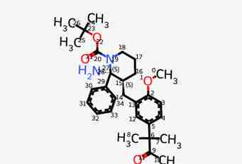 COc1ccc(C(C)(C)C(C)=O)cc1C[C@@H]1CCCN(C(=O)OC(C)(C)C)[C@]1(N)c1ccccc1